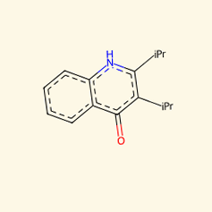 CC(C)c1[nH]c2ccccc2c(=O)c1C(C)C